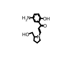 Nc1ccc(O)c(C(=O)C=CN2CCCC2CO)c1